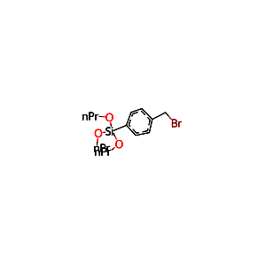 CCCO[Si](OCCC)(OCCC)c1ccc(CBr)cc1